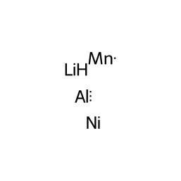 [Al].[LiH].[Mn].[Ni]